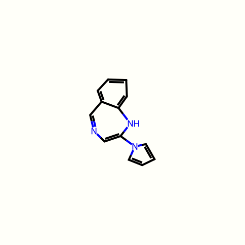 C1=NC=C(n2cccc2)Nc2ccccc21